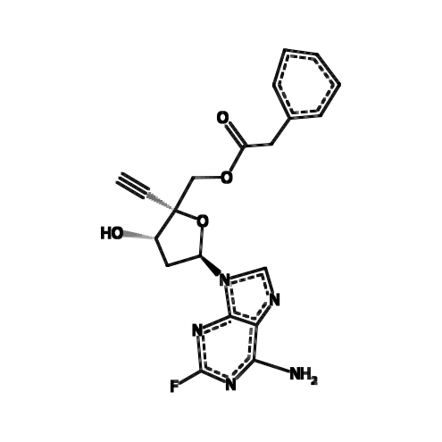 C#C[C@]1(COC(=O)Cc2ccccc2)O[C@@H](n2cnc3c(N)nc(F)nc32)C[C@@H]1O